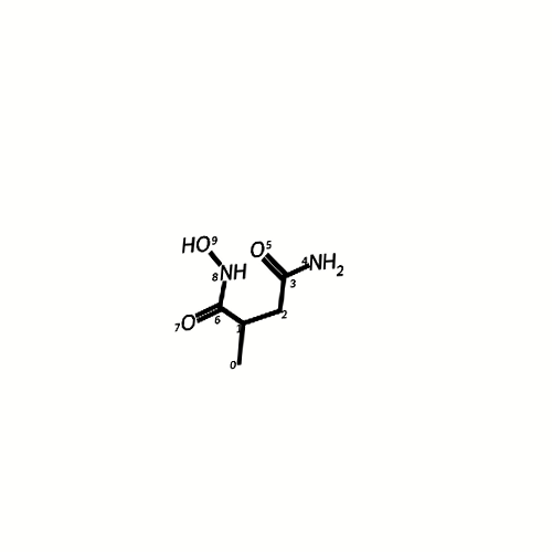 CC(CC(N)=O)C(=O)NO